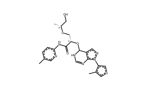 Cc1ccc(NC(=O)[C@H](CO[C@H](C)CO)OC2NC=Nc3c2cnn3-c2cscc2C)nc1